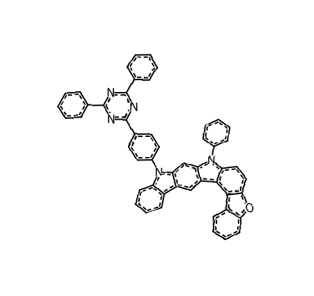 c1ccc(-c2nc(-c3ccccc3)nc(-c3ccc(-n4c5ccccc5c5cc6c7c8c(ccc7n(-c7ccccc7)c6cc54)oc4ccccc48)cc3)n2)cc1